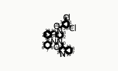 O=C(NC1CCCCC1)N(Cc1ccnc2ccccc12)[C@H]1CCN(C(=O)c2cc(Cl)cc(Cl)c2)[C@H](Cc2ccccc2)C1